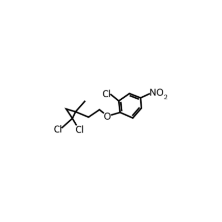 CC1(CCOc2ccc([N+](=O)[O-])cc2Cl)CC1(Cl)Cl